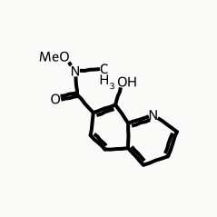 CON(C)C(=O)c1ccc2cccnc2c1O